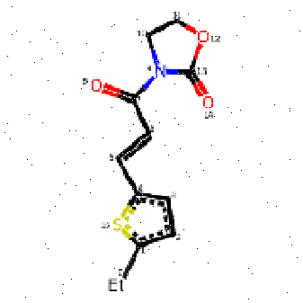 CCc1ccc(/C=C/C(=O)N2CCOC2=O)s1